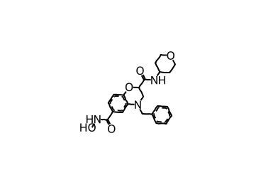 O=C(NO)c1ccc2c(c1)N(Cc1ccccc1)CC(C(=O)NC1CCOCC1)O2